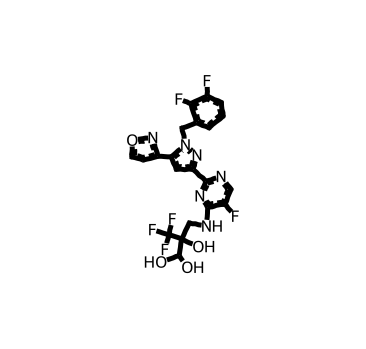 OC(O)C(O)(CNc1nc(-c2cc(-c3ccon3)n(Cc3cccc(F)c3F)n2)ncc1F)C(F)(F)F